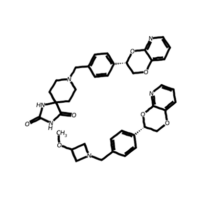 COC1CN(Cc2ccc([C@H]3COc4cccnc4O3)cc2)C1.O=C1NC(=O)C2(CCN(Cc3ccc([C@H]4COc5cccnc5O4)cc3)CC2)N1